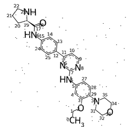 CCOc1cc(Nc2nccc(-c3ccc(NC(=O)[C@H]4CCCN4)cc3)n2)ccc1N1CCOCC1